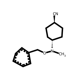 CN(OCc1ccccc1)[C@H]1CC[C@H](C#N)CC1